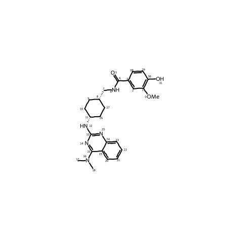 COc1cc(C(=O)NC[C@H]2CC[C@@H](Nc3nc(N(C)C)c4ccccc4n3)CC2)ccc1O